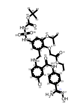 CCOC(=O)COc1c(CNc2ccc(Cl)cc2C(=O)Nc2ccc(/C(N)=N/O)cc2)cc(NS(=O)(=O)NC(=O)OC(C)(C)C)cc1OC(C)C